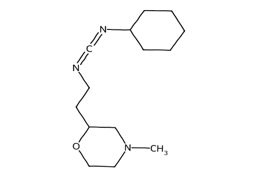 CN1CCOC(CCN=C=NC2CCCCC2)C1